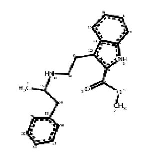 COC(=O)c1[nH]c2ccccc2c1CCNC(C)Cc1ccccc1